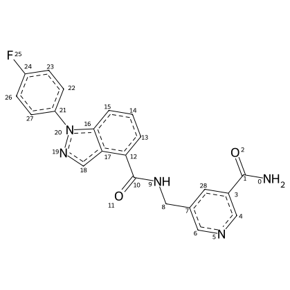 NC(=O)c1cncc(CNC(=O)c2cccc3c2cnn3-c2ccc(F)cc2)c1